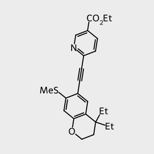 CCOC(=O)c1ccc(C#Cc2cc3c(cc2SC)OCCC3(CC)CC)nc1